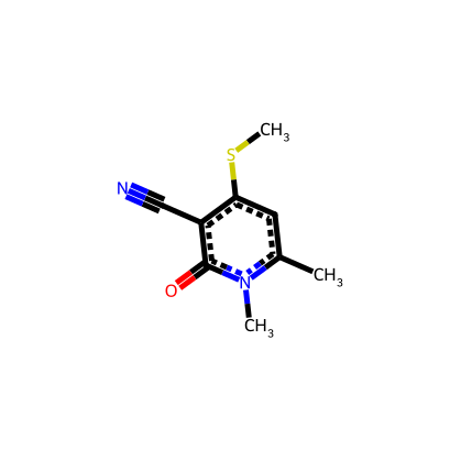 CSc1cc(C)n(C)c(=O)c1C#N